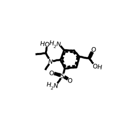 CC(O)N(C)c1c(N)cc(C(=O)O)cc1S(N)(=O)=O